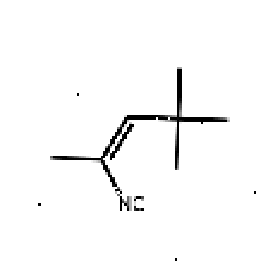 [C-]#[N+]/C(C)=C\C(C)(C)C